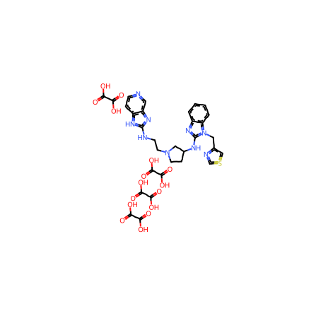 O=C(O)C(=O)O.O=C(O)C(=O)O.O=C(O)C(=O)O.O=C(O)C(=O)O.c1ccc2c(c1)nc(NC1CCN(CCNc3nc4cnccc4[nH]3)C1)n2Cc1cscn1